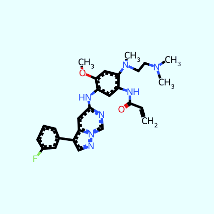 C=CC(=O)Nc1cc(Nc2cc3c(-c4cccc(F)c4)cnn3cn2)c(OC)cc1N(C)CCN(C)C